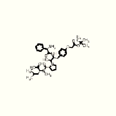 CC(C)C[C@@H](C(=O)O)N(C)C(=O)[C@H]1CCCN1C(O)[C@H](Cc1ccc(OCC(=O)OC(C)(C)C)cc1)NC(=O)[C@@H](N)c1ccccc1